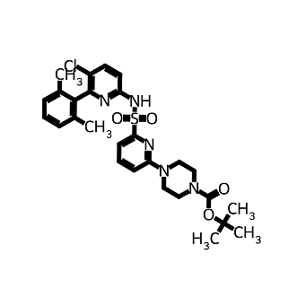 Cc1cccc(C)c1-c1nc(NS(=O)(=O)c2cccc(N3CCN(C(=O)OC(C)(C)C)CC3)n2)ccc1Cl